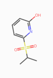 CC(C)S(=O)(=O)c1cccc(O)n1